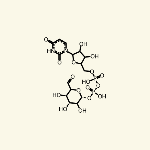 O=CC1O[C@H](OP(=O)(O)OP(=O)(O)OCC2OC(n3ccc(=O)[nH]c3=O)C(O)C2O)C(O)[C@@H](O)[C@H]1O